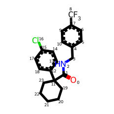 O=C(NCc1ccc(C(F)(F)F)cc1)C1(c2ccc(Cl)cc2)CCCCC1